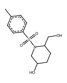 Cc1ccc(S(=O)(=O)N2CC(O)CCC2CO)cc1